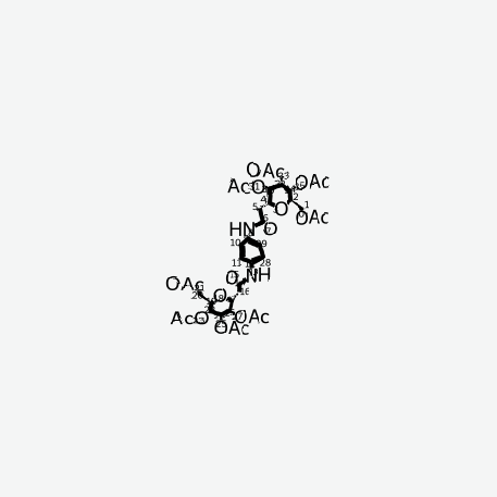 CC(=O)OC[C@H]1O[C@H](CC(=O)Nc2ccc(NC(=O)C[C@H]3O[C@H](COC(C)=O)[C@@H](OC(C)=O)[C@H](OC(C)=O)[C@@H]3OC(C)=O)cc2)[C@@H](OC(C)=O)[C@@H](OC(C)=O)[C@@H]1OC(C)=O